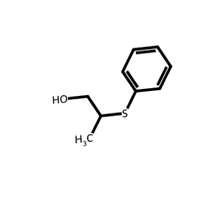 CC(CO)Sc1ccccc1